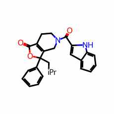 CC(C)CC1(c2ccccc2)OC(=O)C2=C1CN(C(=O)c1cc3ccccc3[nH]1)CC2